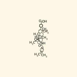 C=C(C)[C@@H]1CC[C@]2(NC(=O)CN3CCN(C(C)C)CC3)CC[C@]3(C)[C@H](CCC4[C@@]5(C)CC=C(c6ccc(C(=O)O)cc6)C(C)(C)C5CC[C@]43C)C12